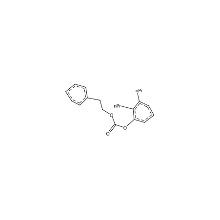 CCCc1cccc(OC(=O)OCCc2ccccc2)c1CCC